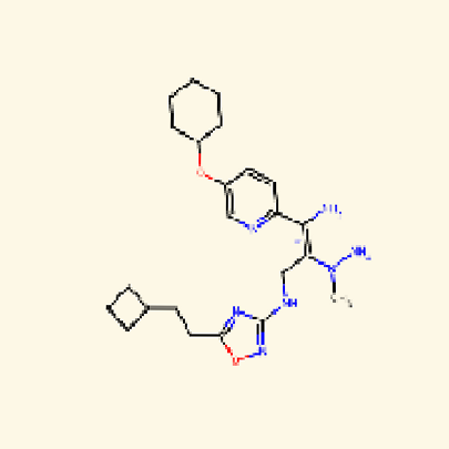 CN(N)/C(CNc1noc(CCC2CCC2)n1)=C(\N)c1ccc(OC2CCCCC2)cn1